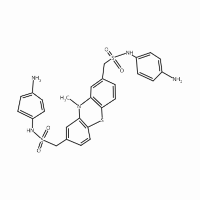 CN1c2cc(CS(=O)(=O)Nc3ccc(N)cc3)ccc2Sc2ccc(CS(=O)(=O)Nc3ccc(N)cc3)cc21